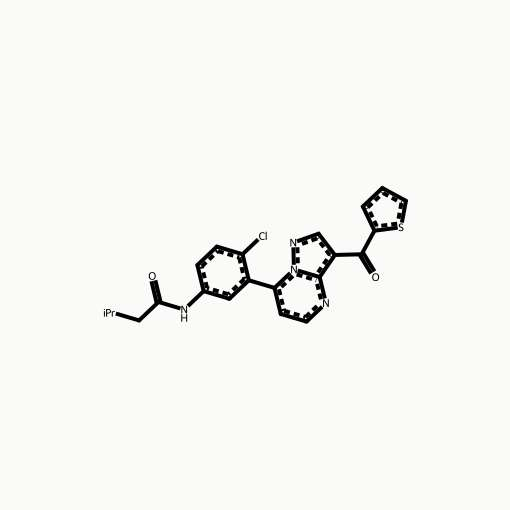 CC(C)CC(=O)Nc1ccc(Cl)c(-c2ccnc3c(C(=O)c4cccs4)cnn23)c1